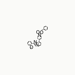 COc1ccccc1-c1cn2cccc(C3=CCN(C(=O)OCc4ccccc4)CC3)c2n1